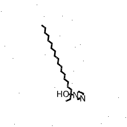 CCCCCCCCCCCCCCCCCCC(O)(CC)N1C=NCC1